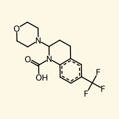 O=C(O)N1c2ccc(C(F)(F)F)cc2CCC1N1CCOCC1